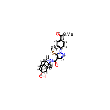 CCCSc1c(C(=O)N[C@@H]2[C@@H]3CC4C[C@H]2C[C@@](O)(C4)C3)cnn1-c1ccc(C(=O)OC)cc1